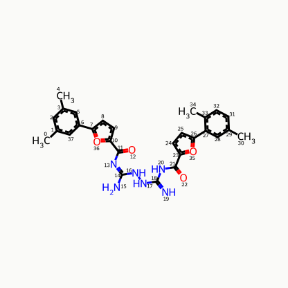 Cc1cc(C)cc(-c2ccc(C(=O)N=C(N)NNC(=N)NC(=O)c3ccc(-c4cc(C)ccc4C)o3)o2)c1